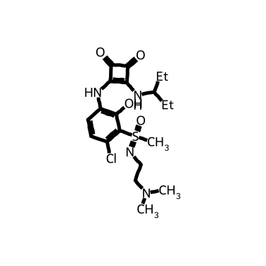 CCC(CC)Nc1c(Nc2ccc(Cl)c(S(C)(=O)=NCCN(C)C)c2O)c(=O)c1=O